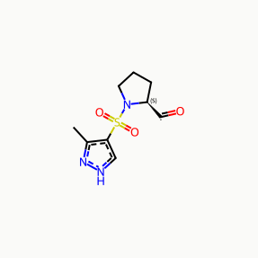 Cc1n[nH]cc1S(=O)(=O)N1CCC[C@H]1[C]=O